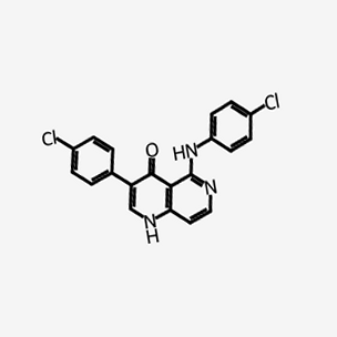 O=c1c(-c2ccc(Cl)cc2)c[nH]c2ccnc(Nc3ccc(Cl)cc3)c12